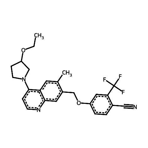 CCOC1CCN(c2ccnc3cc(COc4ccc(C#N)c(C(F)(F)F)c4)c(C)cc23)C1